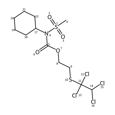 CS(=O)(=O)N(C(=O)OCCSC(Cl)(Cl)C(Cl)Cl)C1CCCCC1